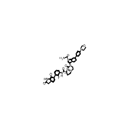 NC(=O)n1cc(N2CCN3CC[C@@H](C(=O)Nc4cccc(-c5ccc6c(c5Cl)NC(=O)C6)c4F)N3C2=O)c2ccc(-c3ccc(N4CCOCC4)cc3)cc21